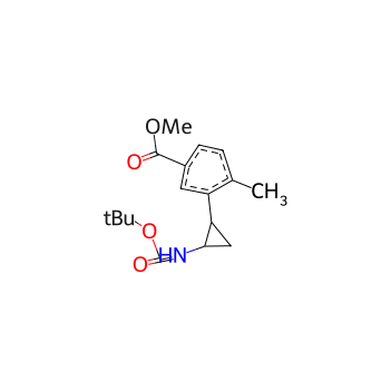 COC(=O)c1ccc(C)c(C2CC2NC(=O)OC(C)(C)C)c1